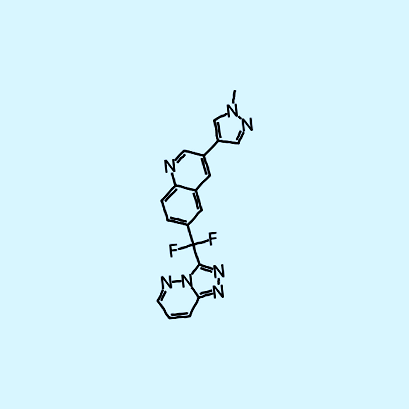 Cn1cc(-c2cnc3ccc(C(F)(F)c4nnc5cccnn45)cc3c2)cn1